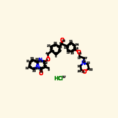 Cc1c(OCc2ccc(C(=O)c3ccc(OCCN4CCOCC4)cc3)cc2)nc2ccccn2c1=O.Cl